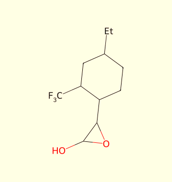 CCC1CCC(C2OC2O)C(C(F)(F)F)C1